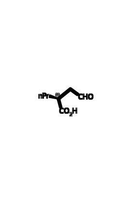 CCC[C@@H](CC=O)C(=O)O